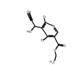 C#CC(O)c1c(Cl)ncc(C(=O)OCC)c1Cl